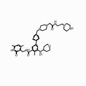 CCN(c1cc(-c2ccc(CN3CCN(CC(=O)NCCN4CCNCC4)CC3)cc2)cc(C(=O)NCc2c(C)cc(C)[nH]c2=O)c1C)C1CCOCC1